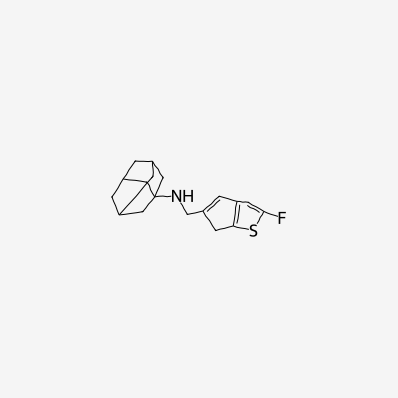 Fc1cc2c(s1)CC(CNC13CC4CC(CC(C4)C1)C3)=C2